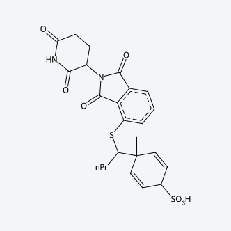 CCCC(Sc1cccc2c1C(=O)N(C1CCC(=O)NC1=O)C2=O)C1(C)C=CC(S(=O)(=O)O)C=C1